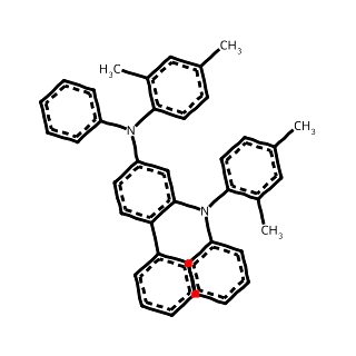 Cc1ccc(N(c2ccccc2)c2ccc(-c3ccccc3)c(N(c3ccccc3)c3ccc(C)cc3C)c2)c(C)c1